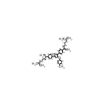 Cc1ccc(Oc2cc(-c3ccc(C(N)=NCCCN(C)C)cc3)[nH]c2-c2ccc(C(N)=NCCCN(C)C)cc2)cc1